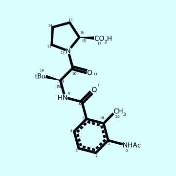 CC(=O)Nc1cccc(C(=O)N[C@H](C(=O)N2CCC[C@H]2C(=O)O)C(C)(C)C)c1C